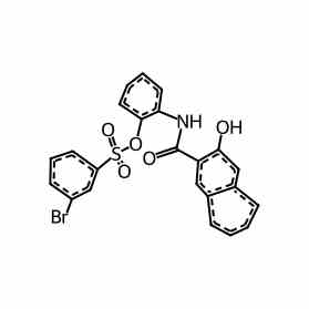 O=C(Nc1ccccc1OS(=O)(=O)c1cccc(Br)c1)c1cc2ccccc2cc1O